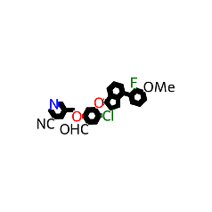 COc1cccc(-c2cccc3c2CC[C@@H]3Oc2cc(OCc3cncc(C#N)c3)c(C=O)cc2Cl)c1F